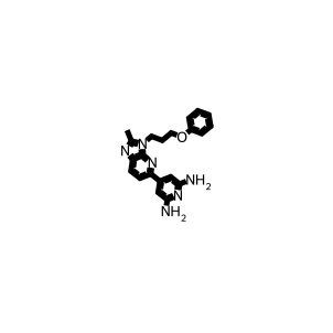 Cc1nc2ccc(-c3cc(N)nc(N)c3)nc2n1CCCOc1ccccc1